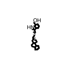 OCc1cccc2c(CSCCN3CCC4=C(CCc5ccccc54)C3)c[nH]c12